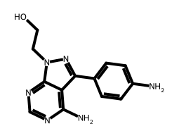 Nc1ccc(-c2nn(CCO)c3ncnc(N)c23)cc1